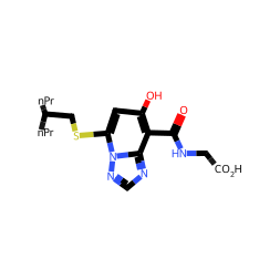 CCCC(CCC)CSc1cc(O)c(C(=O)NCC(=O)O)c2ncnn12